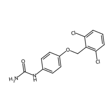 NC(=O)Nc1ccc(OCc2c(Cl)cccc2Cl)cc1